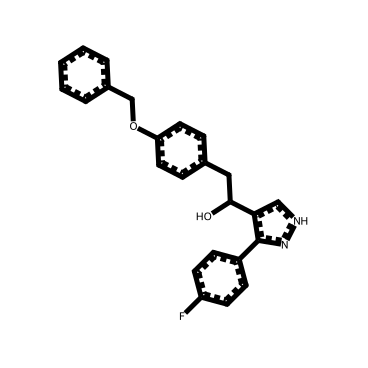 OC(Cc1ccc(OCc2ccccc2)cc1)c1c[nH]nc1-c1ccc(F)cc1